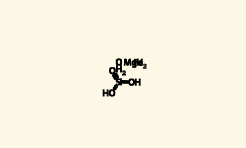 O.O=[Si](O)O.[Fe].[MgH2]